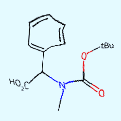 CN(C(=O)OC(C)(C)C)C(C(=O)O)c1ccccc1